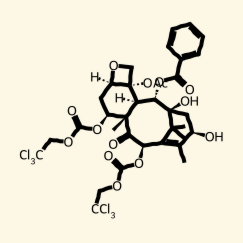 CC(=O)O[C@@]12CO[C@@H]1C[C@H](OC(=O)OCC(Cl)(Cl)Cl)[C@@]1(C)C(=O)[C@H](OC(=O)OCC(Cl)(Cl)Cl)C3=C(C)[C@H](O)C[C@@](O)([C@@H](OC(=O)c4ccccc4)[C@H]21)C3(C)C